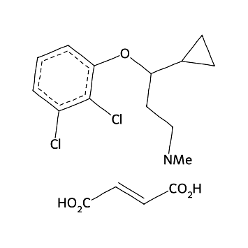 CNCCC(Oc1cccc(Cl)c1Cl)C1CC1.O=C(O)/C=C/C(=O)O